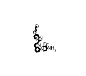 COCCOc1ccn2c(-c3ccc4cccc(N5CCC(N)C(F)(F)C5)c4n3)cnc2c1